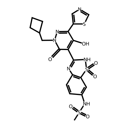 CS(=O)(=O)Nc1ccc2c(c1)S(=O)(=O)NC(c1c(O)c(-c3cncs3)nn(CC3CCC3)c1=O)=N2